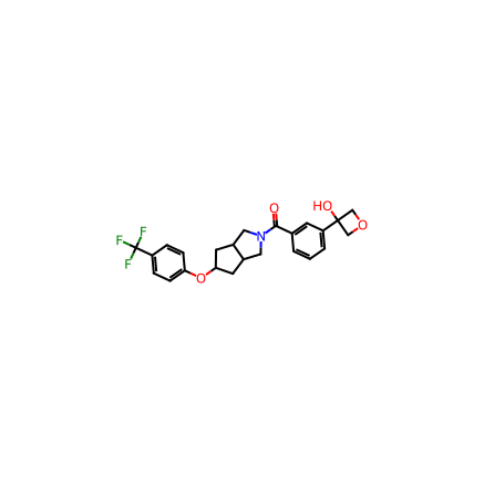 O=C(c1cccc(C2(O)COC2)c1)N1CC2CC(Oc3ccc(C(F)(F)F)cc3)CC2C1